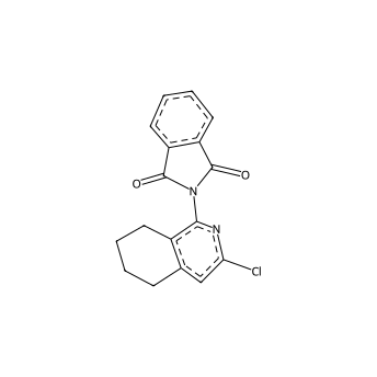 O=C1c2ccccc2C(=O)N1c1nc(Cl)cc2c1CCCC2